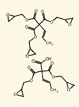 C/C=C/C(C(=O)O)(C(=O)OCC1CO1)C(=O)OCC1CO1.C/C=C/C(C(=O)OCC1CO1)(C(=O)OCC1CO1)C(=O)OCC1CO1